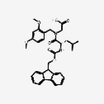 COc1ccc(CN(CC(=O)O)C(=O)[C@H](CC(C)C)NC(=O)OCC2c3ccccc3-c3ccccc32)c(OC)c1